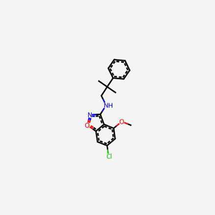 COc1cc(Cl)cc2onc(NCC(C)(C)c3ccccc3)c12